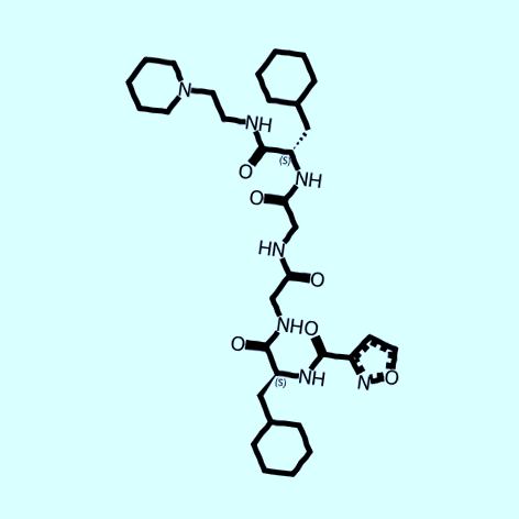 O=C(CNC(=O)[C@H](CC1CCCCC1)NC(=O)c1ccon1)NCC(=O)N[C@@H](CC1CCCCC1)C(=O)NCCN1CCCCC1